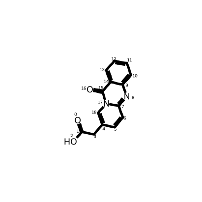 O=C(O)Cc1ccc2nc3ccccc3c(=O)n2c1